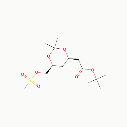 CC(C)(C)OC(=O)C[C@H]1C[C@@H](COS(C)(=O)=O)OC(C)(C)O1